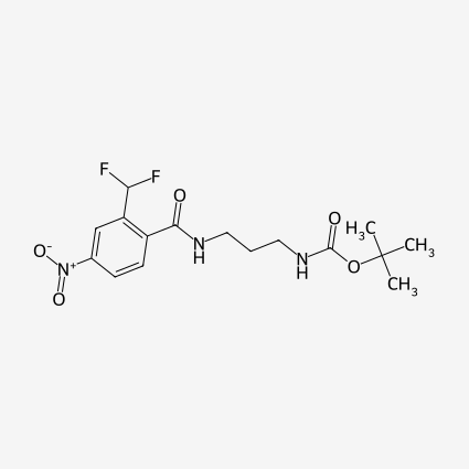 CC(C)(C)OC(=O)NCCCNC(=O)c1ccc([N+](=O)[O-])cc1C(F)F